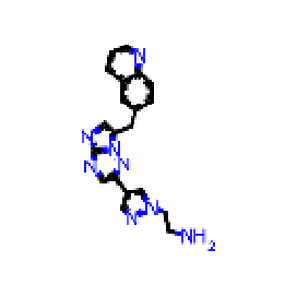 NCCn1cc(-c2cnc3ncc(Cc4ccc5ncccc5c4)n3n2)cn1